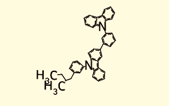 CCC(C)Cc1cccc(-n2c3ccccc3c3cc(-c4cccc(-n5c6ccccc6c6ccccc65)c4)ccc32)c1